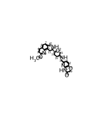 COc1ccc2ccc(F)c(CC(N)[C@@H]3CC[C@@H](NCc4ccc5c(n4)NC(=O)CO5)CO3)c2n1